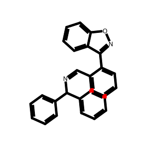 C(=N/C(c1ccccc1)c1ccccc1)/c1ccccc1-c1noc2ccccc12